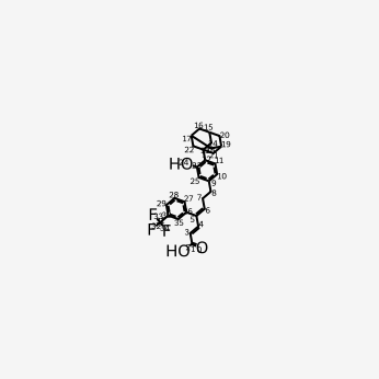 O=C(O)C=C/C(=C/CCc1ccc(C23CC4CC(CC(C4)C2)C3)c(O)c1)c1cccc(C(F)(F)F)c1